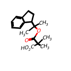 CC(C)(C(=O)O)C(=O)OC(C)(C)C1CCc2ccccc21